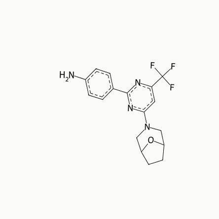 Nc1ccc(-c2nc(N3CC4CCC(C3)O4)cc(C(F)(F)F)n2)cc1